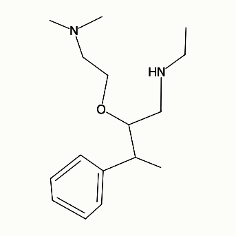 CCNCC(OCCN(C)C)C(C)c1ccccc1